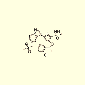 C[C@@H](Oc1cc(-n2cnc3ccc(CS(C)(=O)=O)cc32)sc1C(N)=O)c1ccccc1Cl